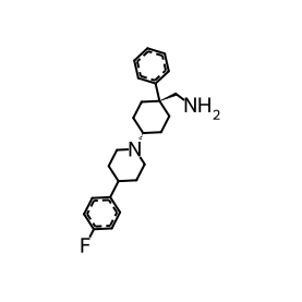 NC[C@]1(c2ccccc2)CC[C@@H](N2CCC(c3ccc(F)cc3)CC2)CC1